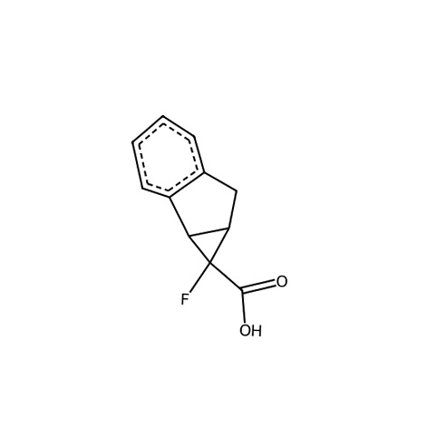 O=C(O)C1(F)C2Cc3ccccc3C21